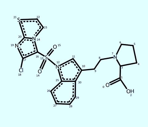 O=C(O)C1CCCN1CCc1cn(S(=O)(=O)c2c(Cl)nc3sccn23)c2ccccc12